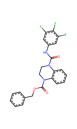 O=C(Nc1cc(F)c(F)c(F)c1)N1CCN(C(=O)OCc2ccccc2)c2ccccc21